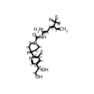 C=C/C(=C\C=C(/N)NC(=O)N1CCC(F)(c2ncc([C@H](O)CO)cc2F)CC1)C(F)(F)F